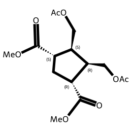 COC(=O)[C@H]1C[C@@H](C(=O)OC)[C@H](COC(C)=O)[C@@H]1COC(C)=O